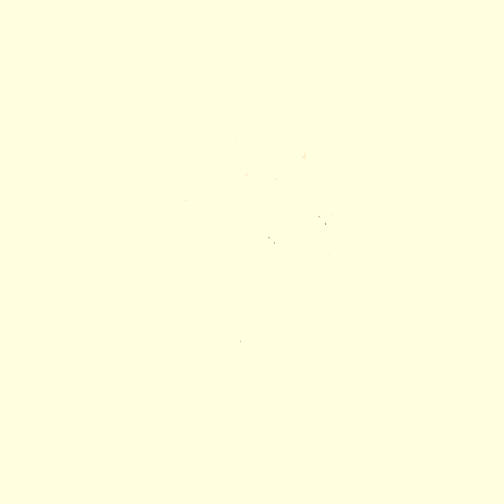 BrC(c1ccccc1)c1noc(-c2ccccc2)n1